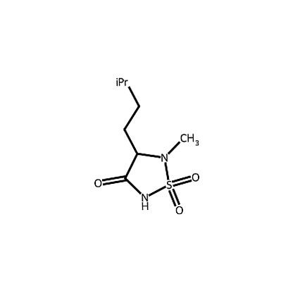 CC(C)CCC1C(=O)NS(=O)(=O)N1C